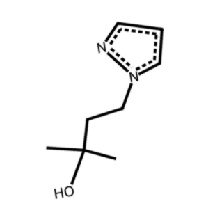 CC(C)(O)CCn1cccn1